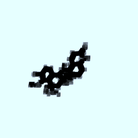 COc1c(F)ccc2c1C(C)(C)CC(O)(C(F)(F)C(F)(F)F)C2Nc1cccc2[nH]c(=O)ccc12